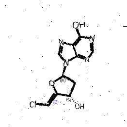 Oc1ncnc2c1ncn2[C@H]1C[C@H](O)/C(=C/Cl)O1